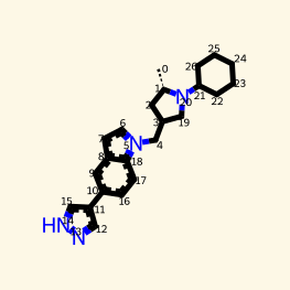 C[C@H]1CC(Cn2ccc3cc(-c4cn[nH]c4)ccc32)CN1C1CCCCC1